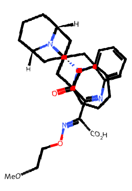 COCCO/N=C(\C(=O)O)c1nc2ccccc2n([C@H]2C[C@H]3CCC[C@@H](C2)N3C2CC3CCCCC(C3)C2)c1=O